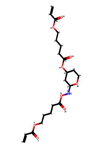 C=CC(=O)OCCCCC(=O)ONC1CC(OC(=O)CCCCOC(=O)C=C)CCO1